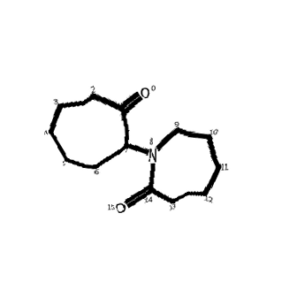 O=C1CCCCCC1N1CCCCCC1=O